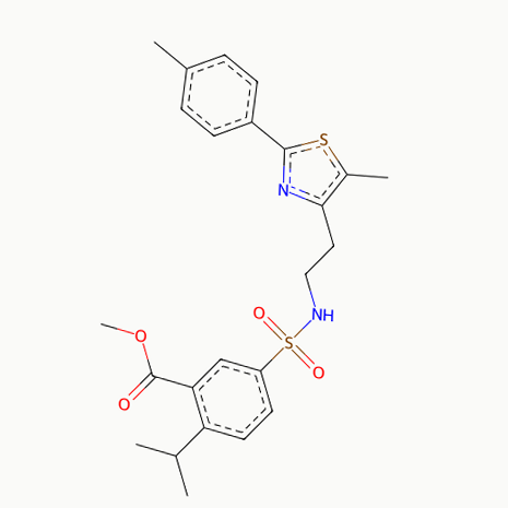 COC(=O)c1cc(S(=O)(=O)NCCc2nc(-c3ccc(C)cc3)sc2C)ccc1C(C)C